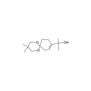 CC1(C)COC2(CC=C(C(C)(C)O)CC2)OC1